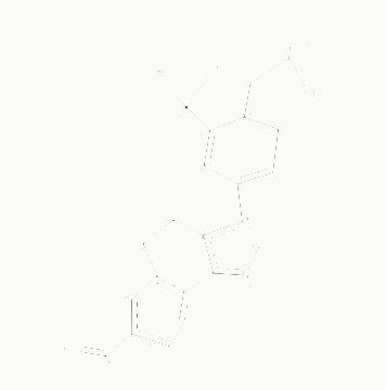 CC(C)CC1CC=C(c2onc3c2CCc2cc(C=O)ccc2-3)C=C1C(F)(F)F